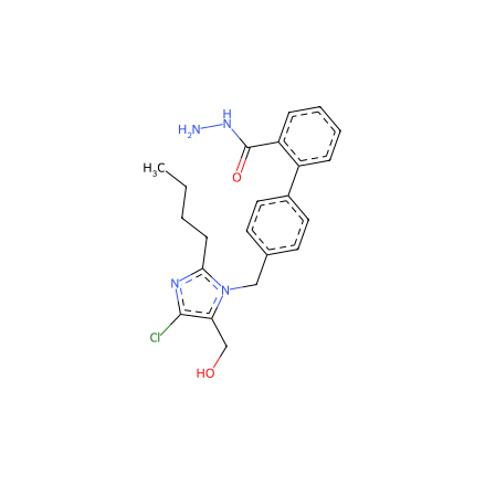 CCCCc1nc(Cl)c(CO)n1Cc1ccc(-c2ccccc2C(=O)NN)cc1